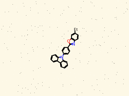 CCc1ccc2nc(-c3ccc(-n4c5ccccc5c5ccccc54)cc3)oc2c1